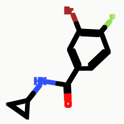 O=C(NC1CC1)c1ccc(F)c(Br)c1